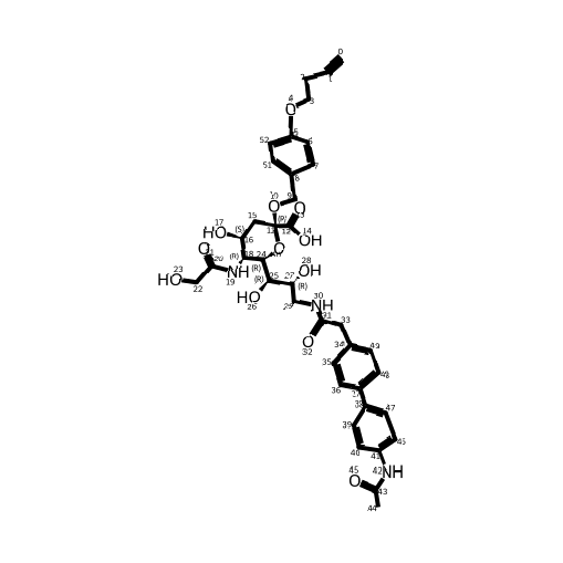 C#CCCOc1ccc(CO[C@]2(C(=O)O)C[C@H](O)[C@@H](NC(=O)CO)[C@H]([C@H](O)[C@H](O)CNC(=O)Cc3ccc(-c4ccc(NC(C)=O)cc4)cc3)O2)cc1